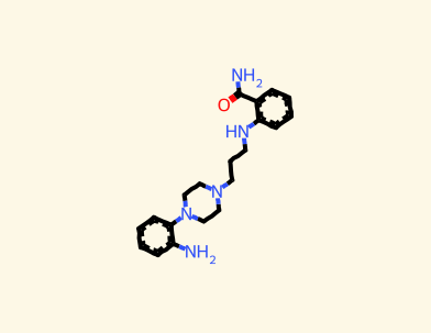 NC(=O)c1ccccc1NCCCN1CCN(c2ccccc2N)CC1